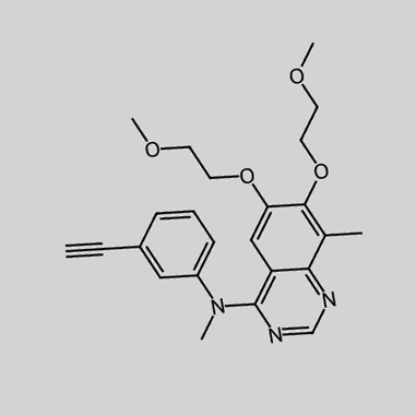 C#Cc1cccc(N(C)c2ncnc3c(C)c(OCCOC)c(OCCOC)cc23)c1